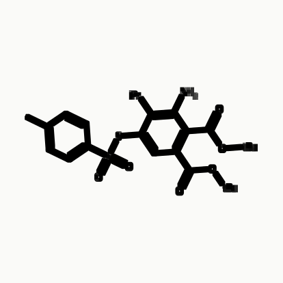 Cc1ccc(S(=O)(=O)Sc2cc(C(=O)OC(C)(C)C)c(C(=O)OC(C)(C)C)c(N)c2C(C)C)cc1